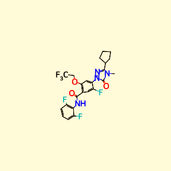 Cn1c(C2CCCC2)nn(-c2cc(OCC(F)(F)F)c(C(=O)Nc3c(F)cccc3F)cc2F)c1=O